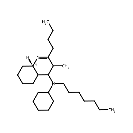 CCCCCCCN(C1CCCCC1)C1C(C)C(CCCC)=N[C@H]2CCCCC12